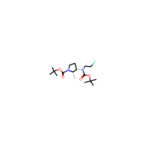 C[C@H]1[C@@H](N(CCF)C(=O)OC(C)(C)C)CCN1C(=O)OC(C)(C)C